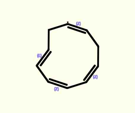 [C]1=C\C\C=C/C=C\C=C\C/1